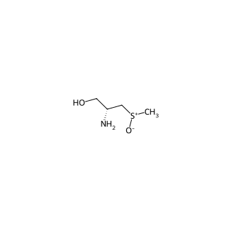 C[S+]([O-])C[C@H](N)CO